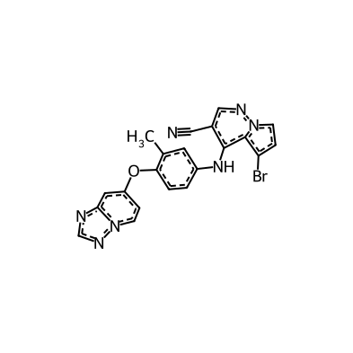 Cc1cc(Nc2c(C#N)cnn3ccc(Br)c23)ccc1Oc1ccn2ncnc2c1